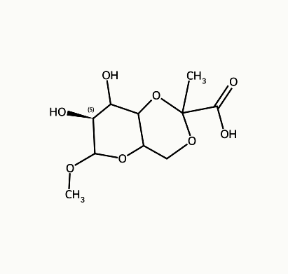 COC1OC2COC(C)(C(=O)O)OC2C(O)[C@@H]1O